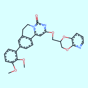 COc1cccc(-c2ccc3c(c2)CCn2c-3cc(OCC3COc4ncccc4O3)nc2=O)c1OC